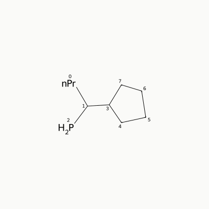 CCCC(P)C1CCCC1